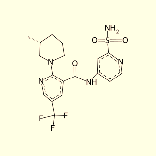 C[C@@H]1CCCN(c2ncc(C(F)(F)F)cc2C(=O)Nc2ccnc(S(N)(=O)=O)c2)C1